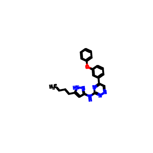 CCCCc1cc(Nc2nncc(-c3cccc(Oc4ccccc4)c3)n2)n[nH]1